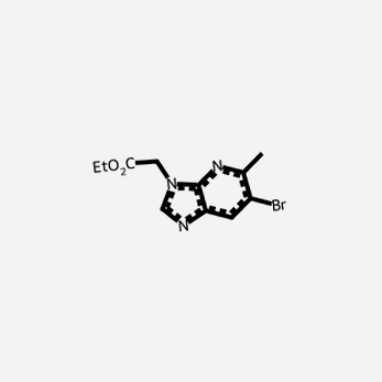 CCOC(=O)Cn1cnc2cc(Br)c(C)nc21